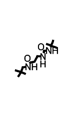 CC(C)(C)CNC(=O)CCNC(=O)NC(C)(C)C